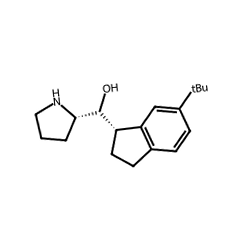 CC(C)(C)c1ccc2c(c1)[C@@H](C(O)[C@@H]1CCCN1)CC2